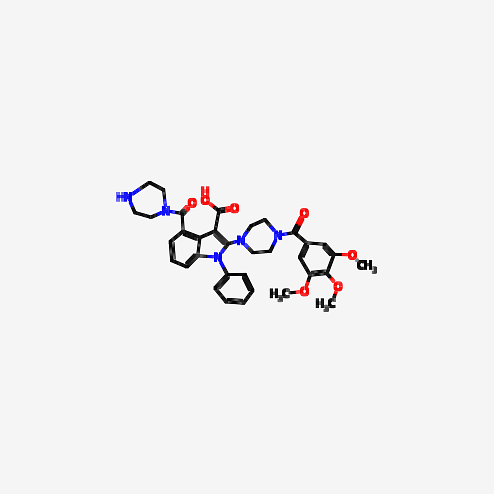 COc1cc(C(=O)N2CCN(c3c(C(=O)O)c4c(C(=O)N5CCNCC5)cccc4n3-c3ccccc3)CC2)cc(OC)c1OC